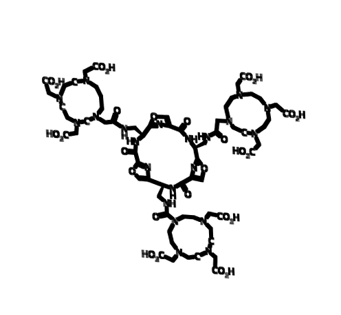 O=C(O)CN1CCCN(CC(=O)NC[C@@H]2NC(=O)c3nc(co3)[C@H](CNC(=O)N3CCN(CC(=O)O)CCN(CC(=O)O)CCN(CC(=O)O)CC3)NC(=O)c3coc(n3)[C@H](CNC(=O)CN3CCN(CC(=O)O)CCN(CC(=O)O)CCN(CC(=O)O)CC3)NC(=O)c3coc2n3)CN(CC(=O)O)CCN(CC(=O)O)CC1